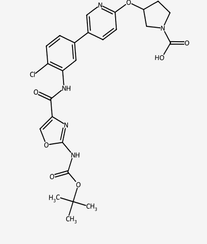 CC(C)(C)OC(=O)Nc1nc(C(=O)Nc2cc(-c3ccc(OC4CCN(C(=O)O)C4)nc3)ccc2Cl)co1